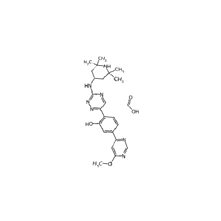 COc1cc(-c2ccc(-c3cnc(NC4CC(C)(C)NC(C)(C)C4)nn3)c(O)c2)ncn1.O=CO